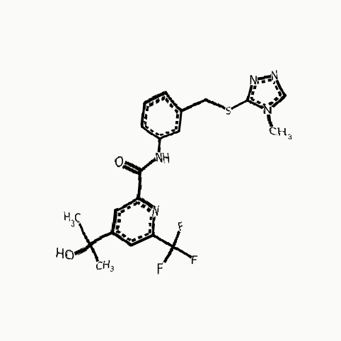 Cn1cnnc1SCc1cccc(NC(=O)c2cc(C(C)(C)O)cc(C(F)(F)F)n2)c1